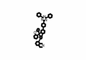 c1ccc(-c2nc(-c3ccccc3)nc(-c3ccc(-c4ccc5c(c4)C4(c6ccccc6Oc6ccccc64)c4cc(-c6cccc7ccncc67)ccc4-5)cc3)n2)cc1